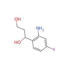 Nc1cc(I)ccc1C(O)CCO